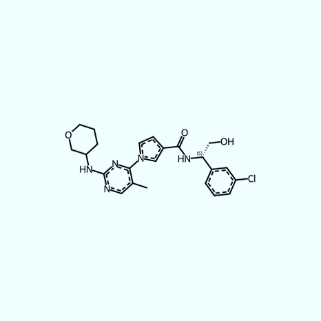 Cc1cnc(NC2CCCOC2)nc1-n1ccc(C(=O)N[C@H](CO)c2cccc(Cl)c2)c1